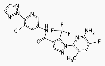 Cc1cc(F)c(N)nc1-n1ncc(C(=O)Nc2cnc(-n3nccn3)c(Cl)c2)c1C(F)(F)F